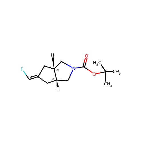 CC(C)(C)OC(=O)N1C[C@H]2CC(=CF)C[C@H]2C1